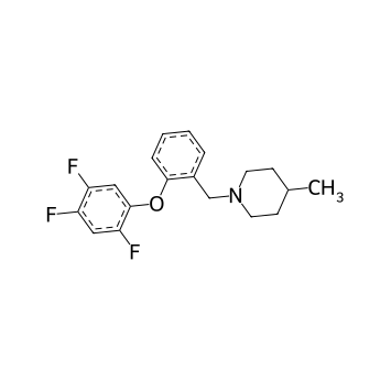 CC1CCN(Cc2ccccc2Oc2cc(F)c(F)cc2F)CC1